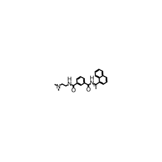 C[C@@H](NC(=O)c1cccc(C(=O)NCCN(C)C)c1)c1cccc2ccccc12